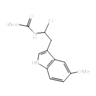 CCCCCCCCCC(=O)NC(CC)Cc1c[nH]c2ccc(OC)cc12